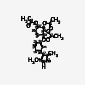 CC(=O)O[C@@H]1[C@@H](OC(C)=O)[C@@H](Oc2cncc(-c3c(C)n[nH]c3C)c2)SC[C@H]1OC(C)=O